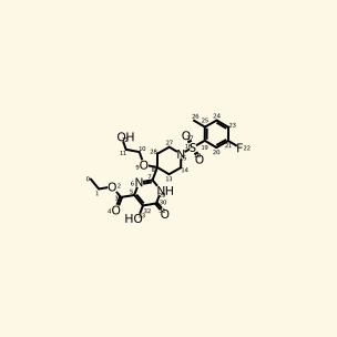 CCOC(=O)c1nc(C2(OCCO)CCN(S(=O)(=O)c3cc(F)ccc3C)CC2)[nH]c(=O)c1O